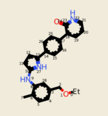 CCOCc1ccc(C)c(Nc2ccc(-c3ccc(-c4ccc[nH]c4=O)cc3)[nH]2)c1